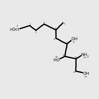 CCCCCCCCCCCC(C)CC(O)C(O)C(N)CO